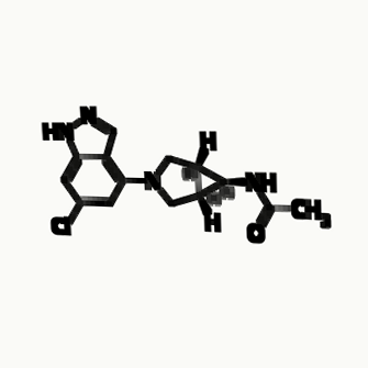 CC(=O)N[C@H]1[C@@H]2CN(c3cc(Cl)cc4[nH]ncc34)C[C@@H]21